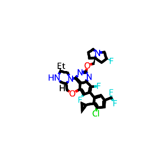 CC[C@@H]1CN2c3nc(OC[C@@]45CCCN4C[C@H](F)C5)nc4c(F)c(-c5cc(C(F)F)cc(Cl)c5C5CC5)c(F)c(c34)OC[C@@H]2CN1